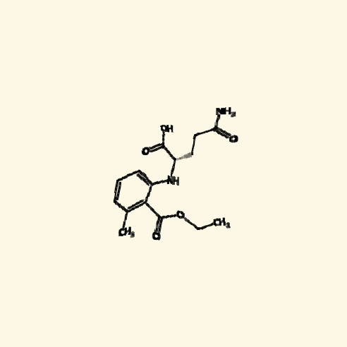 CCOC(=O)c1c(C)cccc1N[C@@H](CCC(N)=O)C(=O)O